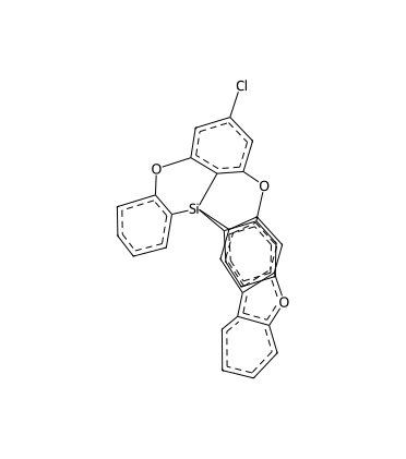 Clc1cc2c3c(c1)Oc1ccccc1[Si]3(c1ccc3oc4ccccc4c3c1)c1ccccc1O2